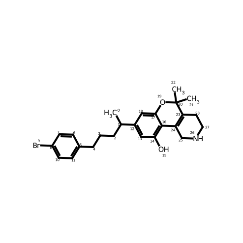 CC(CCCc1ccc(Br)cc1)c1cc(O)c2c(c1)OC(C)(C)C1=C2CNCC1